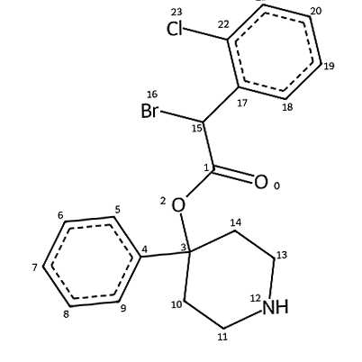 O=C(OC1(c2ccccc2)CCNCC1)C(Br)c1ccccc1Cl